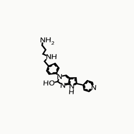 NCCCNCc1ccc(N2C=c3cc(-c4ccncc4)[nH]c3=NC2O)cc1